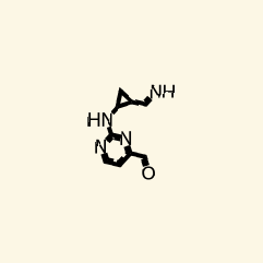 N=CC1CC1Nc1nccc(C=O)n1